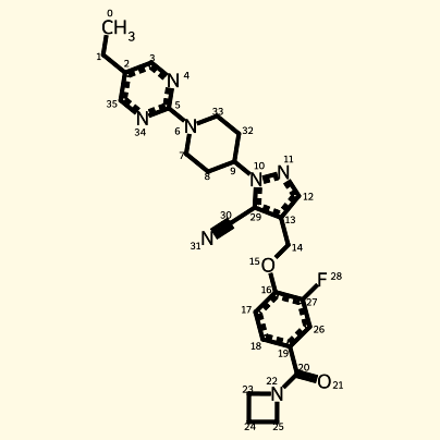 CCc1cnc(N2CCC(n3ncc(COc4ccc(C(=O)N5CCC5)cc4F)c3C#N)CC2)nc1